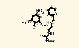 CNC(=S)NCCNCc1ccccn1.O=[N+]([O-])c1cc([N+](=O)[O-])c(O)c([N+](=O)[O-])c1